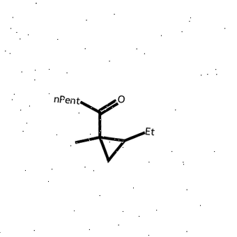 CCCCCC(=O)C1(C)CC1CC